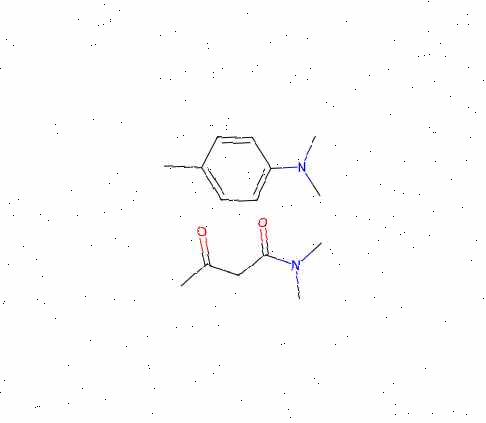 CC(=O)CC(=O)N(C)C.Cc1ccc(N(C)C)cc1